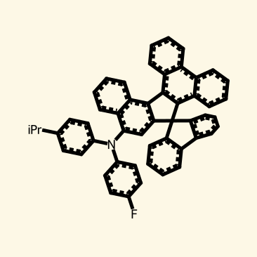 CC(C)c1ccc(N(c2ccc(F)cc2)c2cc3c(c4ccccc24)-c2c(c4ccccc4c4ccccc24)C32c3ccccc3-c3ccccc32)cc1